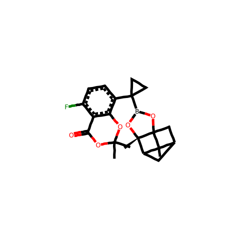 CC1(C)OC(=O)c2c(F)ccc(C3(B4OC56CC7CC(C75C)[C@]6(C)O4)CC3)c2O1